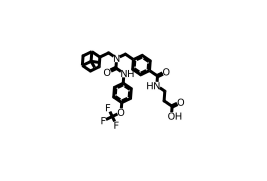 CC1(C)C2CCC(CN(Cc3ccc(C(=O)NCCC(=O)O)cc3)C(=O)Nc3ccc(OC(F)(F)F)cc3)C1C2